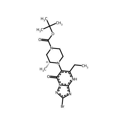 CCc1[nH]c2nc(Br)nn2c(=O)c1N1CCN(C(=O)OC(C)(C)C)C[C@H]1C